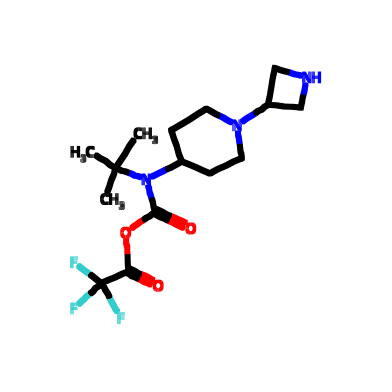 CC(C)(C)N(C(=O)OC(=O)C(F)(F)F)C1CCN(C2CNC2)CC1